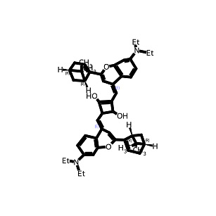 CCN(CC)c1ccc2c(c1)OC(C1=CC[C@H]3C[C@@H]1C3(C)C)=C/C2=C\C1=C(O)C(/C=C2\C=C(C3=CC[C@H]4C[C@@H]3C4(C)C)Oc3cc(N(CC)CC)ccc32)C1O